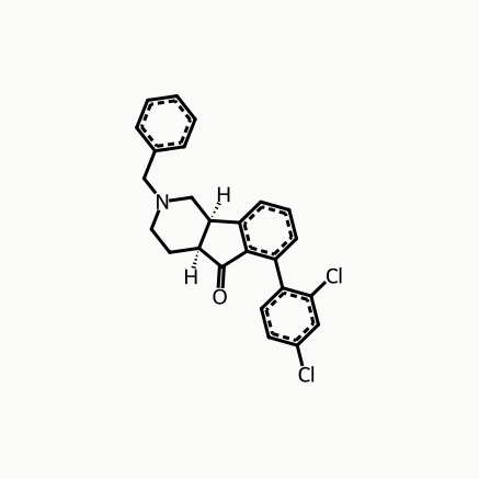 O=C1c2c(-c3ccc(Cl)cc3Cl)cccc2[C@@H]2CN(Cc3ccccc3)CC[C@H]12